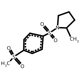 CC1CCCN1S(=O)(=O)c1ccc(S(C)(=O)=O)cc1